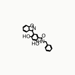 O=C(NCc1ccccc1)c1cc(C2=NOC3C=CC=CC23)c(O)cc1O